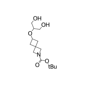 CC(C)(C)OC(=O)N1CC2(CC(OC(CO)CO)C2)C1